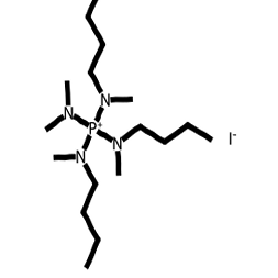 CCCCN(C)[P+](N(C)C)(N(C)CCCC)N(C)CCCC.[I-]